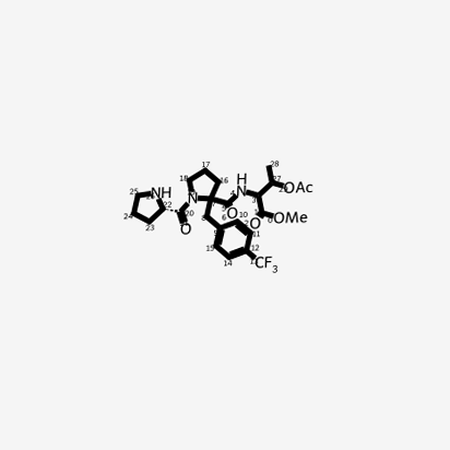 COC(=O)C(NC(=O)C1(Cc2ccc(C(F)(F)F)cc2)CCCN1C(=O)[C@@H]1CCCN1)C(C)OC(C)=O